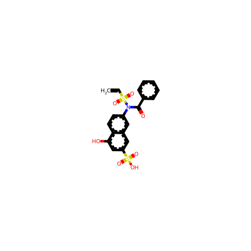 C=CS(=O)(=O)N(C(=O)c1ccccc1)c1ccc2c(O)cc(S(=O)(=O)O)cc2c1